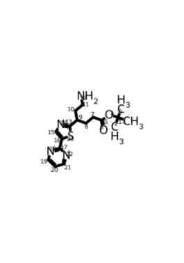 CC(C)(C)OC(=O)CCC(CCN)c1ncc(-c2ncccn2)s1